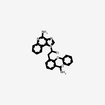 CCC(Cc1cccc(C(N)=O)c1Oc1ccccc1)n1cnc2c(N)nc3ccccc3c21